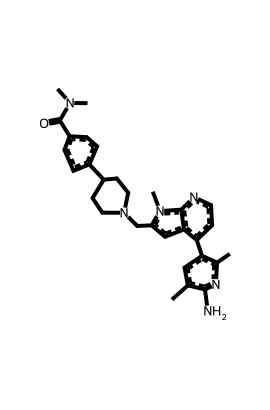 Cc1cc(-c2ccnc3c2cc(CN2CCC(c4ccc(C(=O)N(C)C)cc4)CC2)n3C)c(C)nc1N